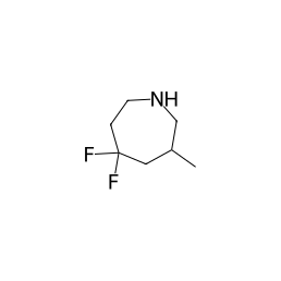 CC1CNCCC(F)(F)C1